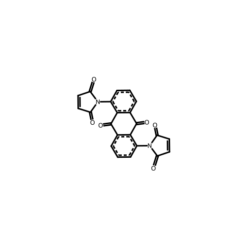 O=C1c2cccc(N3C(=O)C=CC3=O)c2C(=O)c2cccc(N3C(=O)C=CC3=O)c21